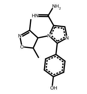 CC1=NOC(C)C1n1c(C(=N)N)cnc1-c1ccc(O)cc1